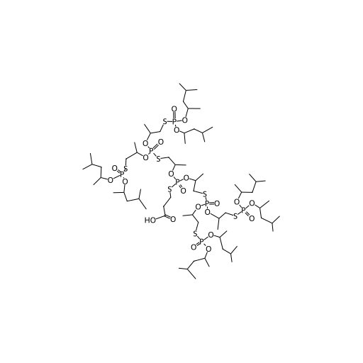 CC(C)CC(C)OP(=O)(OC(C)CC(C)C)SCC(C)OP(=O)(OC(C)CSP(=O)(OC(C)CC(C)C)OC(C)CC(C)C)SCC(C)OP(=O)(OC(C)CSP(=O)(OC(C)CSP(=O)(OC(C)CC(C)C)OC(C)CC(C)C)OC(C)CSP(=O)(OC(C)CC(C)C)OC(C)CC(C)C)SCCC(=O)O